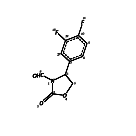 O=[C]N1C(=O)OCC1c1ccc(F)c(F)c1